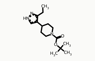 CCc1n[nH]cc1C1CCN(C(=O)OC(C)(C)C)CC1